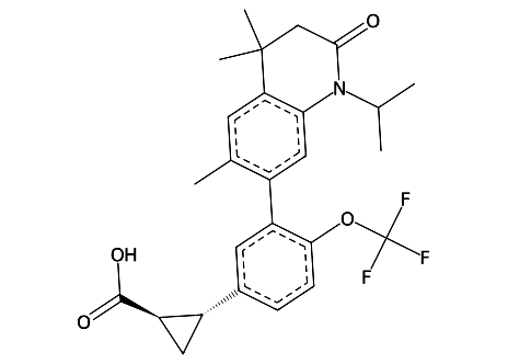 Cc1cc2c(cc1-c1cc([C@@H]3C[C@H]3C(=O)O)ccc1OC(F)(F)F)N(C(C)C)C(=O)CC2(C)C